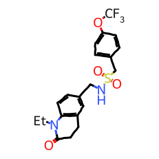 CCN1C(=O)CCc2cc(CNS(=O)(=O)Cc3ccc(OC(F)(F)F)cc3)ccc21